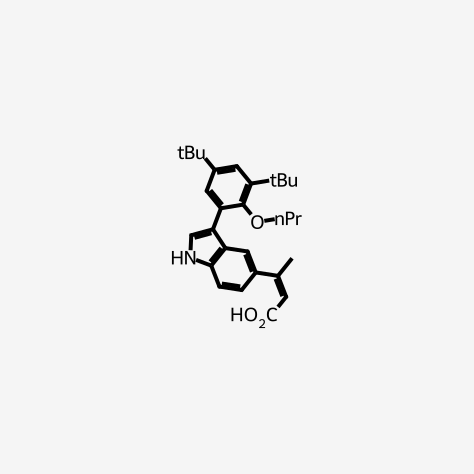 CCCOc1c(-c2c[nH]c3ccc(/C(C)=C\C(=O)O)cc23)cc(C(C)(C)C)cc1C(C)(C)C